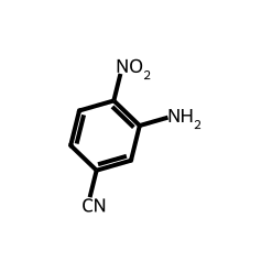 N#Cc1ccc([N+](=O)[O-])c(N)c1